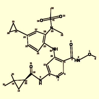 CONC(=O)c1cnc(NC(=O)[C@H]2CC2(C)C)cc1Nc1ccc(C2CC2)cc1N(C)S(C)(=O)=O